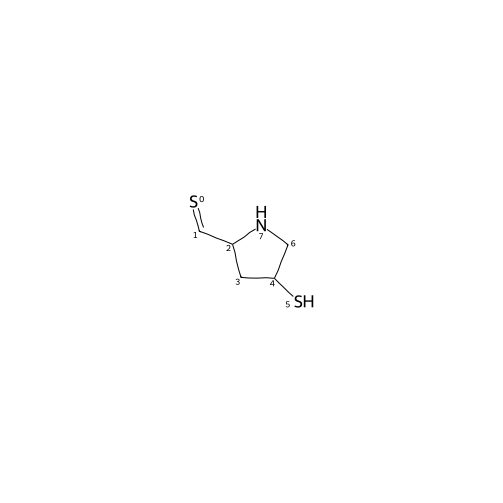 S=CC1CC(S)CN1